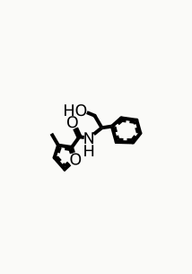 Cc1ccoc1C(=O)NC(CO)c1ccccc1